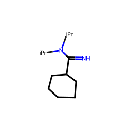 CC(C)N(C(=N)C1CCCCC1)C(C)C